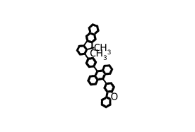 CC1(C)c2cc3ccccc3cc2-c2cccc(-c3ccc(-c4c5ccccc5c(-c5ccc6oc7ccccc7c6c5)c5ccccc45)cc3)c21